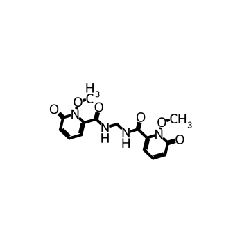 COn1c(C(=O)NCNC(=O)c2cccc(=O)n2OC)cccc1=O